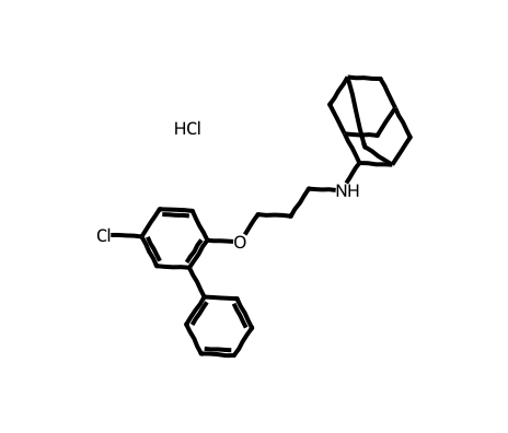 Cl.Clc1ccc(OCCCNC2C3CC4CC(C3)CC2C4)c(-c2ccccc2)c1